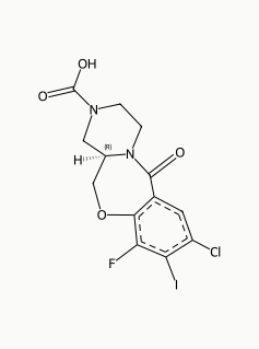 O=C(O)N1CCN2C(=O)c3cc(Cl)c(I)c(F)c3OC[C@H]2C1